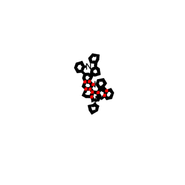 c1ccc(-c2ccccc2-c2c(-c3ccccc3)cccc2N(c2ccc(-c3ccccc3-n3c4ccccc4c4ccccc43)cc2)c2cccc3c2c2ccccc2n3-c2ccccc2)cc1